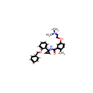 Cc1ccc(OCCN(C)C)cc1C(=O)NC1(c2ccccc2OCc2ccccc2)CC1